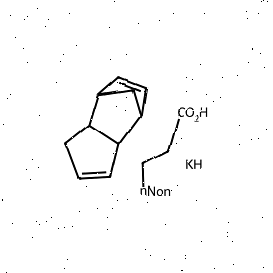 C1=CC2C3C=CC(C3)C2C1.CCCCCCCCCCCC(=O)O.[KH]